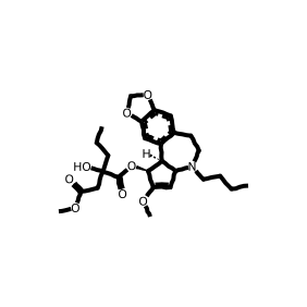 CCCCN1CCc2cc3c(cc2[C@H]2C1C=C(OC)[C@H]2OC(=O)C(O)(CCC)CC(=O)OC)OCO3